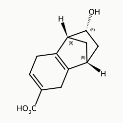 O=C(O)C1=CCC2=C(C1)[C@H]1C[C@@H](O)[C@@H]2C1